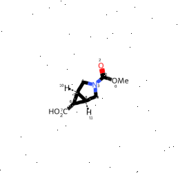 COC(=O)N1C[C@@H]2C(C(=O)O)[C@@H]2C1